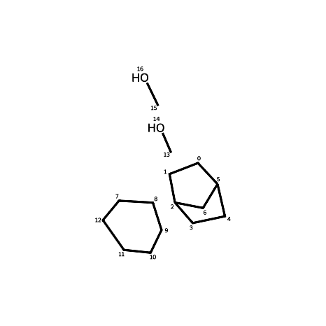 C1CC2CCC1C2.C1CCCCC1.CO.CO